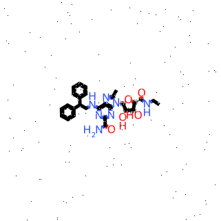 CCNC(=O)[C@H]1O[C@@H](n2c(C)nc3c(NCC(c4ccccc4)c4ccccc4)nc(C(N)=O)nc32)[C@H](O)[C@@H]1O